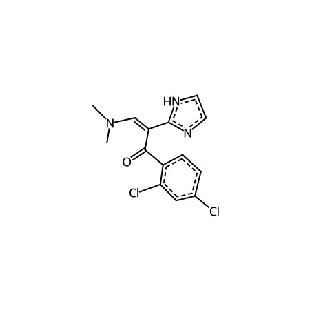 CN(C)/C=C(\C(=O)c1ccc(Cl)cc1Cl)c1ncc[nH]1